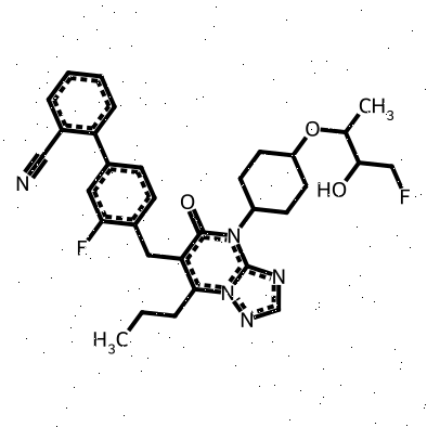 CCCc1c(Cc2ccc(-c3ccccc3C#N)cc2F)c(=O)n(C2CCC(OC(C)C(O)CF)CC2)c2ncnn12